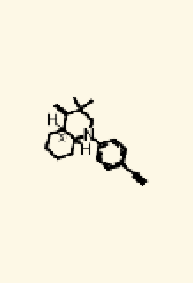 C#Cc1ccc(N2CC(C)(C)C(=C)[C@@H]3CCCC[C@H]32)cc1